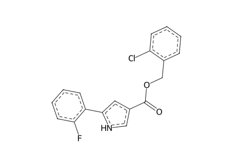 O=C(OCc1ccccc1Cl)c1c[nH]c(-c2ccccc2F)c1